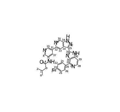 CC(C)CC(=O)Nc1cncc(-c2cc3c(-c4nc5c(-c6ccc(F)cc6)nccc5[nH]4)n[nH]c3cn2)c1